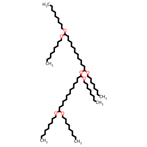 CCCCCCCCCOC(CCCCCCCCCCCC(OCCCCCCCC)OC(CCCCCCCCCCCC(OCCCCCCCCC)OCCCCCCCCC)OCCCCCCCC)OCCCCCCCCC